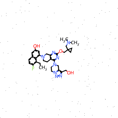 CCc1c(F)ccc2cc(O)cc(N3CCc4c(nc(OCC5(CN(C)C)CC5)nc4N4CCn5nnc(CO)c5C4)C3)c12